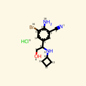 Cl.N#Cc1cc(C(CO)NC2CCC2)cc(Br)c1N